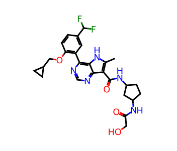 Cc1[nH]c2c(-c3cc(C(F)F)ccc3OCC3CC3)ncnc2c1C(=O)NC1CCC(NC(=O)CO)C1